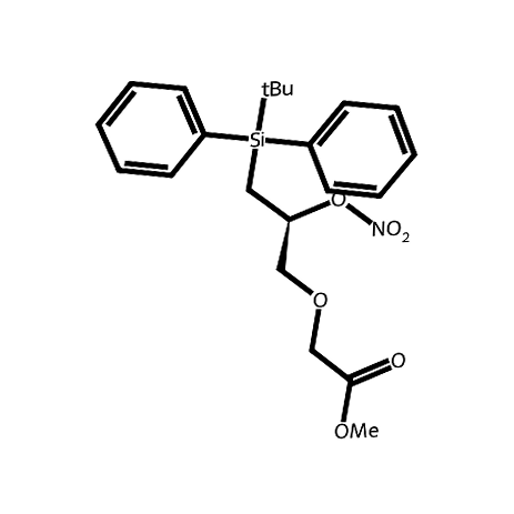 COC(=O)COC[C@@H](C[Si](c1ccccc1)(c1ccccc1)C(C)(C)C)O[N+](=O)[O-]